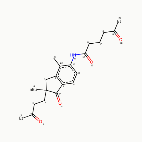 CCCCC1(CCC(=O)CC)Cc2c(ccc(NC(=O)CCCC(=O)CC)c2C)C1=O